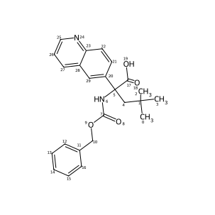 CC(C)(C)CC(NC(=O)OCc1ccccc1)(C(=O)O)c1ccc2ncccc2c1